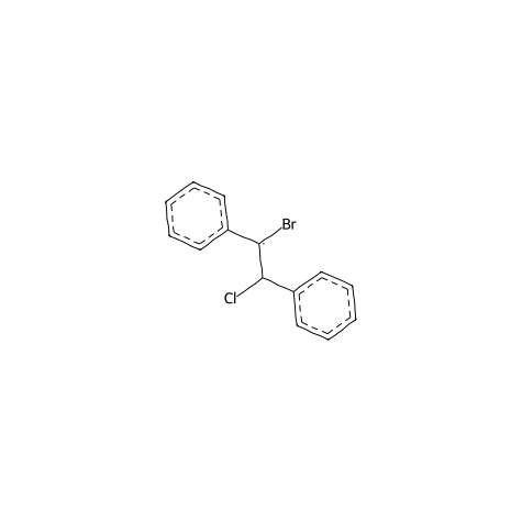 ClC([C](Br)c1ccccc1)c1ccccc1